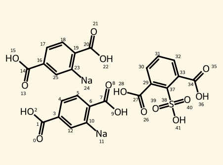 O=C(O)c1ccc(C(=O)O)[c]([Na])c1.O=C(O)c1ccc(C(=O)O)[c]([Na])c1.O=C(O)c1cccc(C(=O)O)c1S(=O)(=O)O